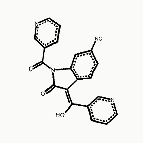 O=Nc1ccc2c(c1)N(C(=O)c1cccnc1)C(=O)/C2=C(\O)c1cccnc1